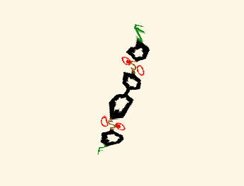 O=S(=O)(c1ccc(F)cc1)c1ccc(-c2ccc(S(=O)(=O)c3ccc(F)cc3)cc2)cc1